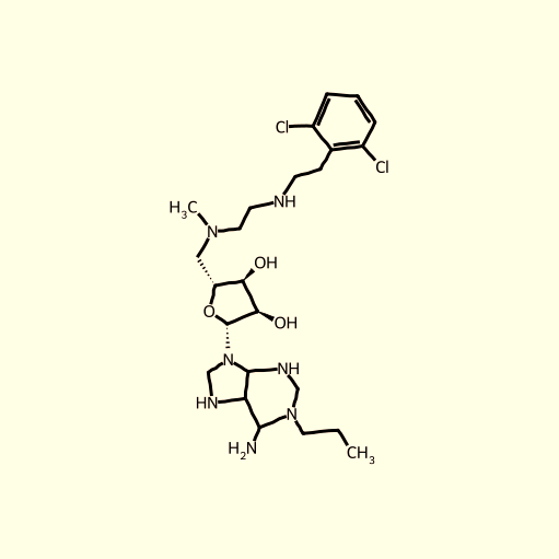 CCCN1CNC2C(NCN2[C@@H]2O[C@H](CN(C)CCNCCc3c(Cl)cccc3Cl)[C@@H](O)[C@H]2O)C1N